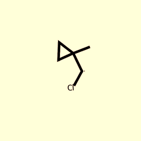 CC1([CH]Cl)CC1